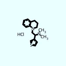 CN(C)C(CN1CCCc2ccccc21)c1ccsc1.Cl